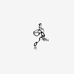 COc1c(C(=O)NCc2cccs2)ccc2[nH]nc(/C=C/c3cccc(C(C)=O)c3)c12